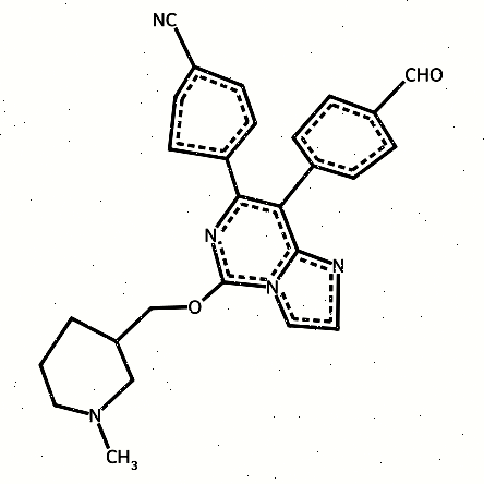 CN1CCCC(COc2nc(-c3ccc(C#N)cc3)c(-c3ccc(C=O)cc3)c3nccn23)C1